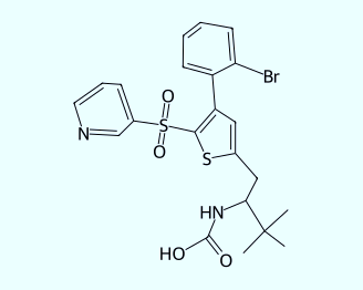 CC(C)(C)C(Cc1cc(-c2ccccc2Br)c(S(=O)(=O)c2cccnc2)s1)NC(=O)O